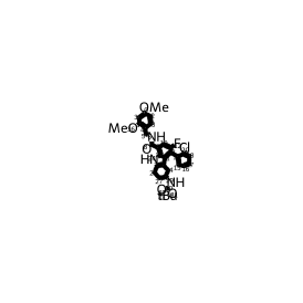 COc1ccc(CNC(=O)c2cc(F)c(-c3ccccc3Cl)c3c4c([nH]c23)CCC(NC(=O)OC(C)(C)C)C4)c(OC)c1